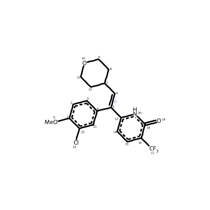 COc1ccc(/C(=C\C2CCOCC2)c2ccc(C(F)(F)F)c(=O)[nH]2)cc1Cl